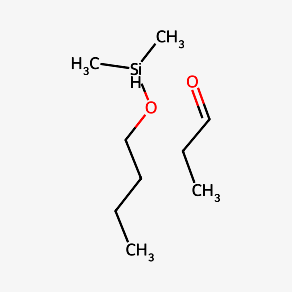 CCC=O.CCCCO[SiH](C)C